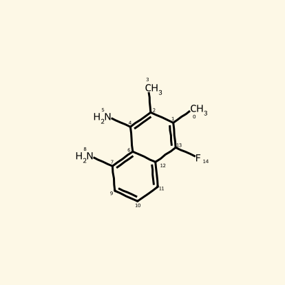 Cc1c(C)c(N)c2c(N)cccc2c1F